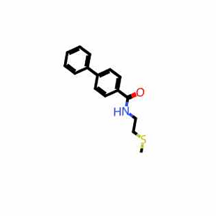 CSCCNC(=O)c1ccc(-c2ccccc2)cc1